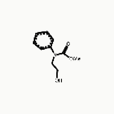 COC(=O)N(CCO)c1ccccc1